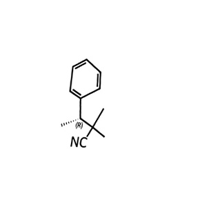 C[C@H](c1ccccc1)C(C)(C)C#N